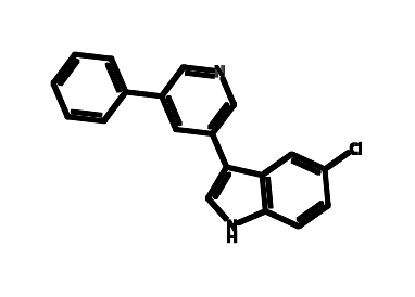 Clc1ccc2[nH]cc(-c3cncc(-c4ccccc4)c3)c2c1